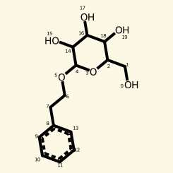 OCC1OC(OCCc2ccccc2)C(O)C(O)C1O